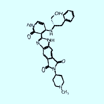 CN1CCC(N2C(=O)c3cc4nc(-c5c(N[C@H](CO)Cc6ccccc6)cc[nH]c5=O)[nH]c4cc3C2=O)CC1